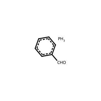 O=Cc1ccccc1.P